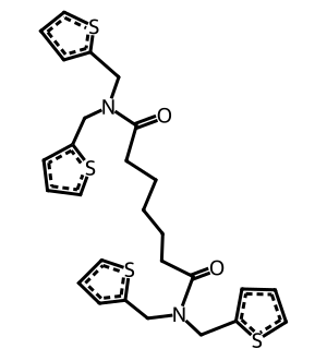 O=C(CCCCCC(=O)N(Cc1cccs1)Cc1cccs1)N(Cc1cccs1)Cc1cccs1